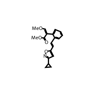 COC=C(C(=O)OC)c1ccccc1C=Cc1cc(C2CC2)no1